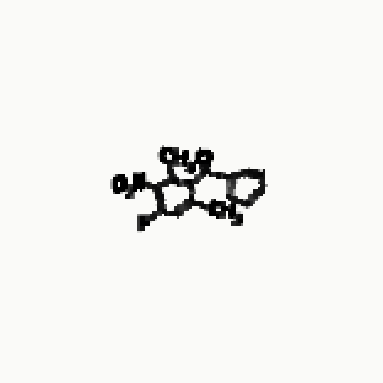 Cc1cc(F)c([N+](=O)[O-])c(C)c1C(=O)c1ccccc1